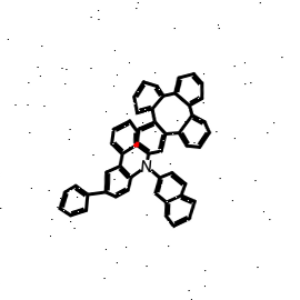 c1ccc(-c2ccc(N(c3ccc4c(c3)-c3ccccc3-c3ccccc3-c3ccccc3-4)c3ccc4ccccc4c3)c(-c3ccccc3)c2)cc1